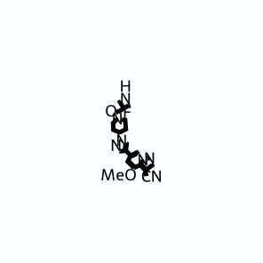 COc1cc(-c2cnn(C3CCN(C(=O)C4(F)CNC4)CC3)c2)cn2ncc(C#N)c12